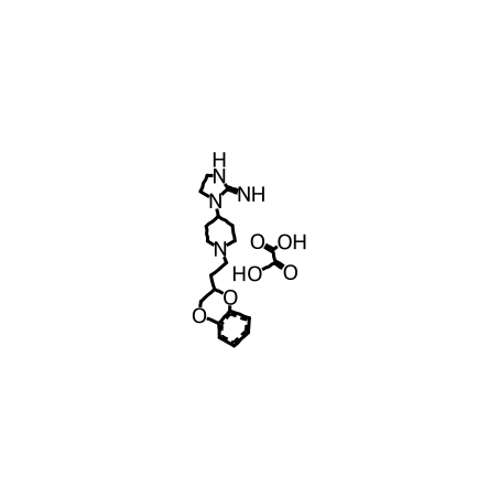 N=C1NCCN1C1CCN(CCC2COc3ccccc3O2)CC1.O=C(O)C(=O)O